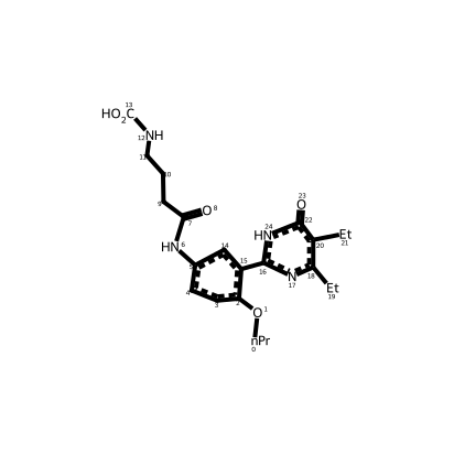 CCCOc1ccc(NC(=O)CCCNC(=O)O)cc1-c1nc(CC)c(CC)c(=O)[nH]1